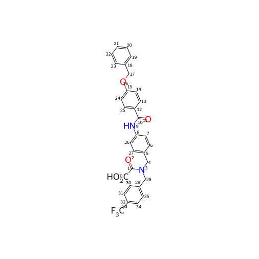 O=C(O)C(=O)N(Cc1ccc(NC(=O)c2ccc(OCc3ccccc3)cc2)cc1)Cc1ccc(C(F)(F)F)cc1